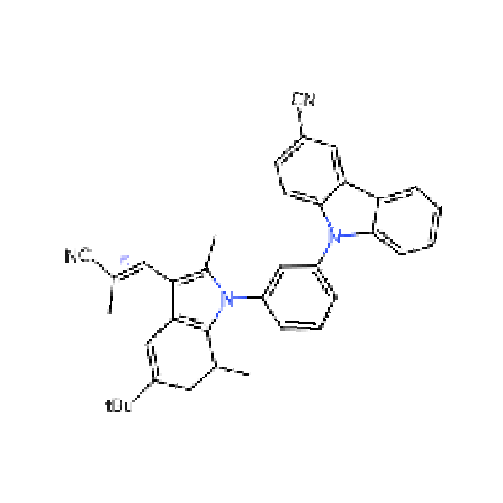 C/C(C#N)=C\c1c2c(n(-c3cccc(-n4c5ccccc5c5cc(C#N)ccc54)c3)c1C)C(C)CC(C(C)(C)C)=C2